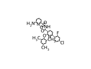 Cc1cc(C)c(Oc2nc(-c3ccc(Cl)cc3F)ccc2C(=O)NS(=O)(=O)c2cccc(N)n2)c(C)c1